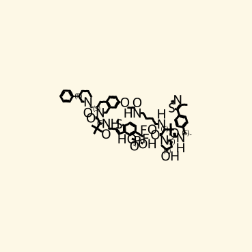 Cc1ncsc1-c1ccc([C@H](C)NC(=O)[C@@H]2C[C@@H](O)CN2C(=O)[C@@H](NC(=O)CCCNC(=O)COc2ccc3c(c2)CN(C(=O)[C@@H](NC(=O)c2cc4cc(C(F)(F)P(=O)(O)O)ccc4s2)C(C)(C)C)[C@H](C(=O)N2CCC[C@H](c4ccccc4)C2)C3)C(C)(C)C)cc1